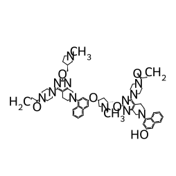 C=CC(=O)N1CCN(c2nc(OC[C@H]3CCN(C)C3)nc3c2CCN(c2cc(OC4C[C@H](COc5nc6c(c(N7CCN(C(=O)C=C)CC7)n5)CCN(c5cc(O)cc7ccccc57)C6)N(C)C4)cc4ccccc24)C3)CC1